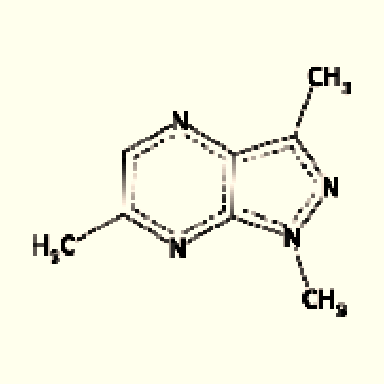 Cc1cnc2c(C)nn(C)c2n1